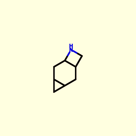 C1C2CC3CNC3CC12